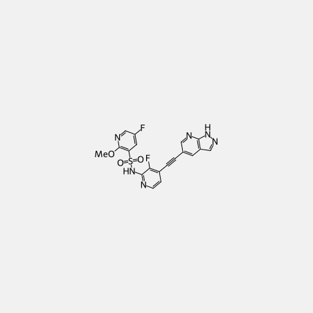 COc1ncc(F)cc1S(=O)(=O)Nc1nccc(C#Cc2cnc3[nH]ncc3c2)c1F